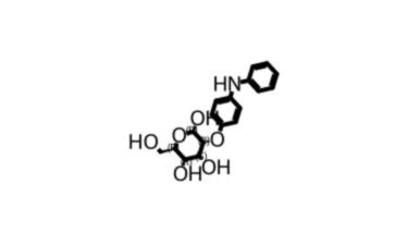 OC[C@H]1O[C@@H](O)[C@H](Oc2ccc(Nc3ccccc3)cc2)[C@@H](O)[C@H]1O